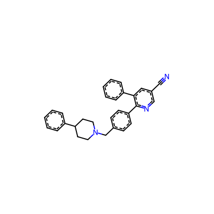 N#Cc1cnc(-c2ccc(CN3CCC(c4ccccc4)CC3)cc2)c(-c2ccccc2)c1